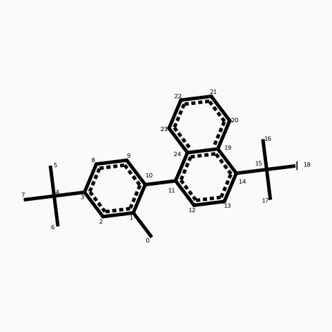 Cc1cc(C(C)(C)C)ccc1-c1ccc(C(C)(C)I)c2ccccc12